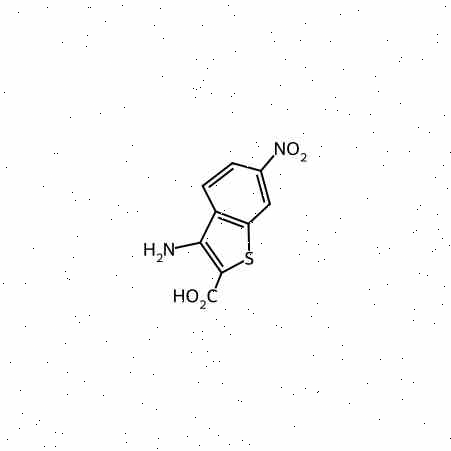 Nc1c(C(=O)O)sc2cc([N+](=O)[O-])ccc12